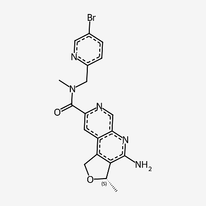 C[C@@H]1OCc2c1c(N)nc1cnc(C(=O)N(C)Cc3ccc(Br)cn3)cc21